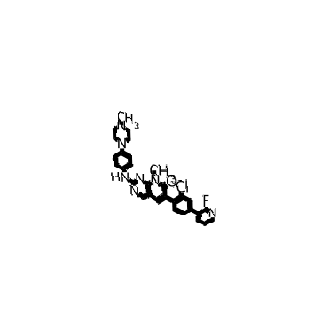 CN1CCN(c2ccc(Nc3ncc4cc(-c5ccc(-c6cccnc6F)cc5Cl)c(=O)n(C)c4n3)cc2)CC1